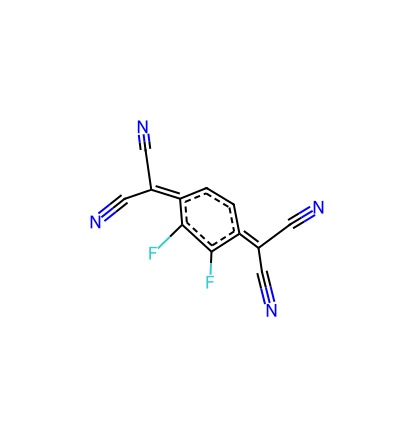 N#CC(C#N)=c1ccc(=C(C#N)C#N)c(F)c1F